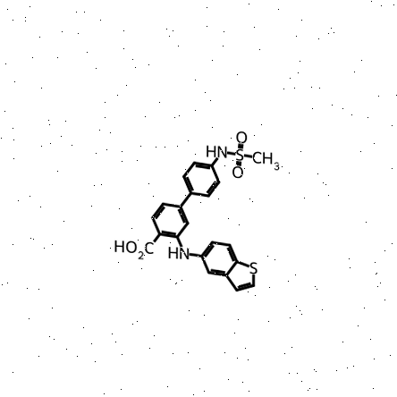 CS(=O)(=O)Nc1ccc(-c2ccc(C(=O)O)c(Nc3ccc4sccc4c3)c2)cc1